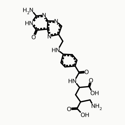 NCC(CC(NC(=O)c1ccc(NCc2cnc3nc(N)[nH]c(=O)c3n2)cc1)C(=O)O)C(=O)O